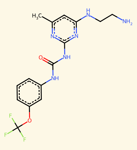 Cc1cc(NCCN)nc(NC(=O)Nc2cccc(OC(F)(F)F)c2)n1